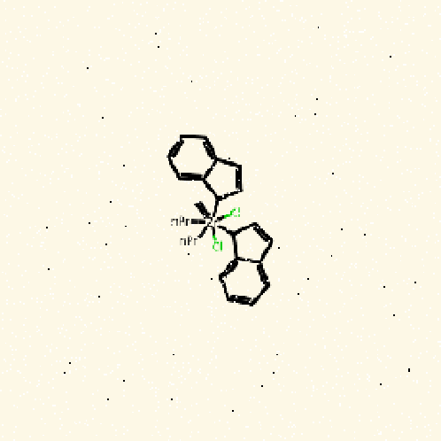 [CH2]=[Zr]([Cl])([Cl])([CH2]CC)([CH2]CC)([CH]1C=Cc2ccccc21)[CH]1C=Cc2ccccc21